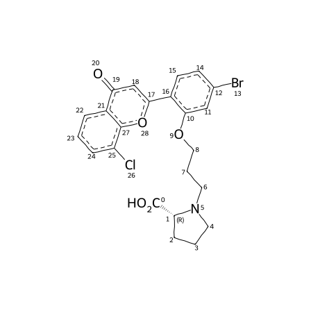 O=C(O)[C@H]1CCCN1CCCOc1cc(Br)ccc1-c1cc(=O)c2cccc(Cl)c2o1